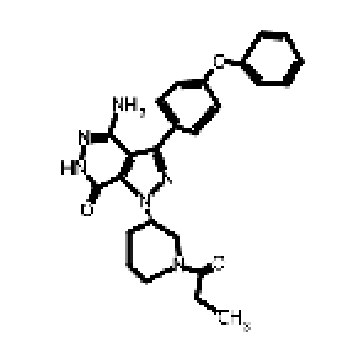 CCC(=O)N1CCC[C@@H](n2nc(-c3ccc(Oc4ccccc4)cc3)c3c(N)n[nH]c(=O)c32)C1